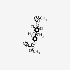 CC(=O)OC(COc1ccc(C(C)(C)c2cc(Cl)c(OC[C@H](CCl)OC(C)=O)c(Cl)c2)cc1)Cn1ccnc1